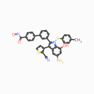 Cc1ccc(Sn2c(-c3cccc(-c4ccc(C(=O)N=O)cc4)c3)c(-c3ccsc3C#N)c3cc(P)cc(O)c32)cc1